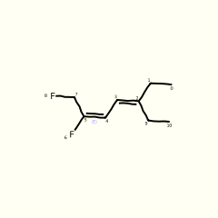 CCC(=C/C=C(/F)CF)CC